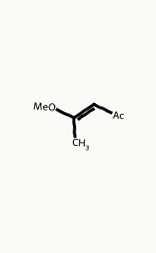 COC(C)=CC(C)=O